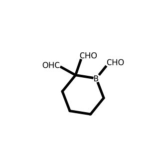 O=CB1CCCCC1(C=O)C=O